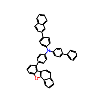 c1ccc(-c2ccc(N(c3ccc(-c4ccc5ccccc5c4)cc3)c3ccc(-c4cccc5oc6c7ccccc7ccc6c45)cc3)cc2)cc1